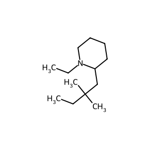 CCN1CCCCC1CC(C)(C)CC